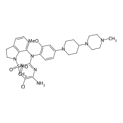 COc1cc(N2CCC(N3CCN(C)CC3)CC2)ccc1N(c1ncc(Cl)c(N)n1)c1cccc2c1N(S(C)(=O)=O)CC2